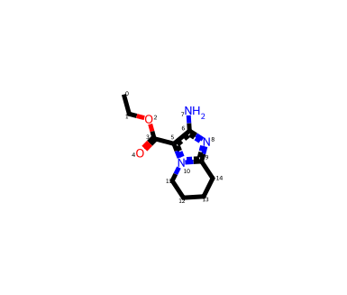 CCOC(=O)c1c(N)nc2n1CCCC2